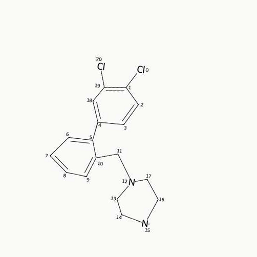 Clc1ccc(-c2ccccc2CN2CC[N]CC2)cc1Cl